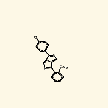 COc1ccccc1C1=NC=C2C1=CN=C2c1ccc(Cl)cc1